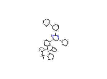 C[Si]1(C)c2ccccc2C2(c3ccccc3-c3c(-c4cc(-c5ccccc5)nc(-c5cccc(-c6ccccc6)c5)n4)cccc32)c2ccccc21